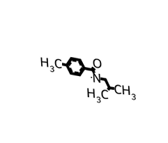 Cc1ccc(C(=O)[N]CC(C)C)cc1